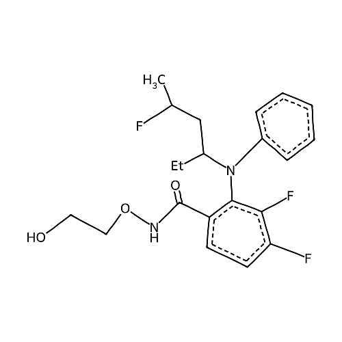 CCC(CC(C)F)N(c1ccccc1)c1c(C(=O)NOCCO)ccc(F)c1F